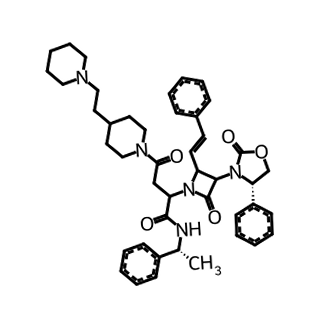 C[C@@H](NC(=O)C(CC(=O)N1CCC(CCN2CCCCC2)CC1)N1C(=O)C(N2C(=O)OC[C@@H]2c2ccccc2)C1C=Cc1ccccc1)c1ccccc1